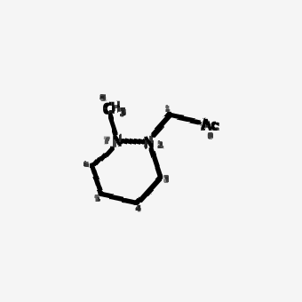 CC(=O)CN1CCCCN1C